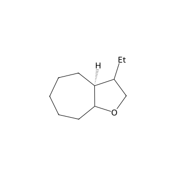 CCC1COC2CCCCC[C@@H]12